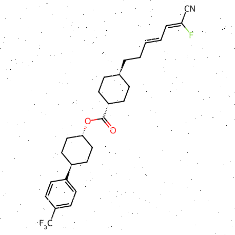 N#CC(F)=CC=CCC[C@H]1CC[C@H](C(=O)O[C@H]2CC[C@H](c3ccc(C(F)(F)F)cc3)CC2)CC1